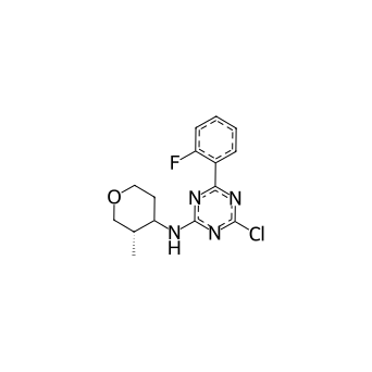 C[C@@H]1COCCC1Nc1nc(Cl)nc(-c2ccccc2F)n1